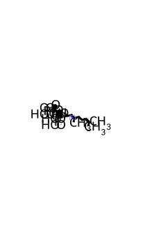 CC(C)=CCC/C(C)=C/COP(=O)(OP(=O)(O)O)OP(=O)(O)OP(=O)(O)O